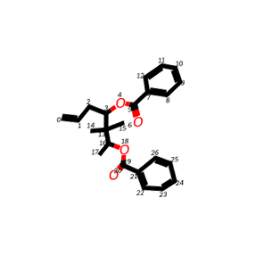 C=CCC(OC(=O)c1ccccc1)C(C)(C)C(C)OC(=O)c1ccccc1